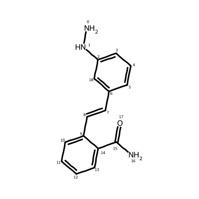 NNc1cccc(C=Cc2ccccc2C(N)=O)c1